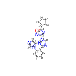 c1ccc2c(c1)C1=NCN(c3noc(C4CCCC4)n3)N1c1cncn1-2